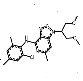 COCC(COC)n1nnc2c(Nc3c(C)cc(C)cc3Cl)nc(C)cc21